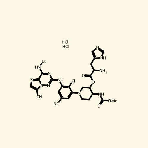 CCNc1nc(Nc2cc(C#N)cc(N3CCC(NC(=O)OC)C(OC(=O)C(N)Cc4cnc[nH]4)C3)c2Cl)nn2c(C#N)cnc12.Cl.Cl